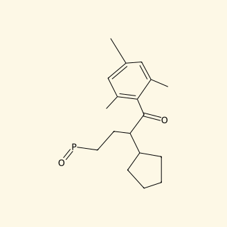 Cc1cc(C)c(C(=O)C(CCP=O)C2CCCC2)c(C)c1